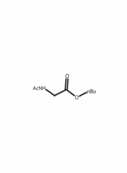 CCCCOC(=O)[CH]NC(C)=O